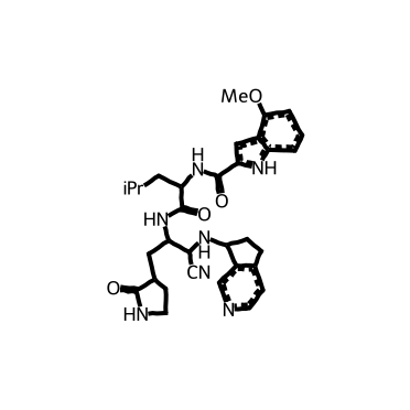 COc1cccc2[nH]c(C(=O)NC(CC(C)C)C(=O)NC(CC3CCNC3=O)C(C#N)NC3CCc4ccncc43)cc12